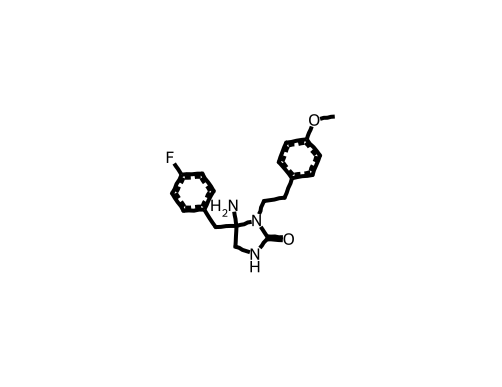 COc1ccc(CCN2C(=O)NCC2(N)Cc2ccc(F)cc2)cc1